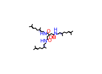 CC(C)=CCC/C(C)=C/CNC(=O)CC(O)(CC(=O)NC/C=C(\C)CCC=C(C)C)C(=O)NC/C=C(\C)CCC=C(C)C